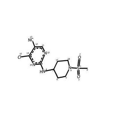 CS(=O)(=O)N1CCC(Nc2ncc(C#N)c(Cl)n2)CC1